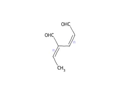 C/C=C(C=O)\C=C/C=O